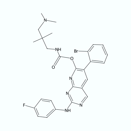 CN(C)CC(C)(C)CNC(=O)Oc1nc2nc(Nc3ccc(F)cc3)ncc2cc1-c1ccccc1Br